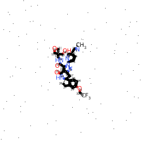 C/N=C/c1ccc(-n2nc3c(c2C(=O)NCC2(CO)COC2)C(=O)N[C@@]2(CCc4cc(OCC(F)(F)F)ccc42)C3)nc1